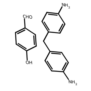 Nc1ccc(Cc2ccc(N)cc2)cc1.O=Cc1ccc(O)cc1